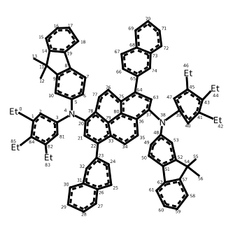 CCc1cc(N(c2ccc3c(c2)C(C)(C)c2ccccc2-3)c2cc(-c3ccc4ccccc4c3)c3ccc4c(N(c5cc(CC)c(CC)c(CC)c5)c5ccc6c(c5)C(C)(C)c5ccccc5-6)cc(-c5ccc6ccccc6c5)c5ccc2c3c54)cc(CC)c1CC